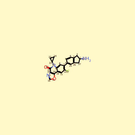 NC1Cc2ccc(-c3cc4c(cc3F)c3ocnc3c(=O)n4C3CC3)cc2C1